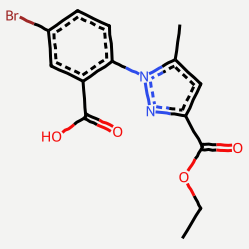 CCOC(=O)c1cc(C)n(-c2ccc(Br)cc2C(=O)O)n1